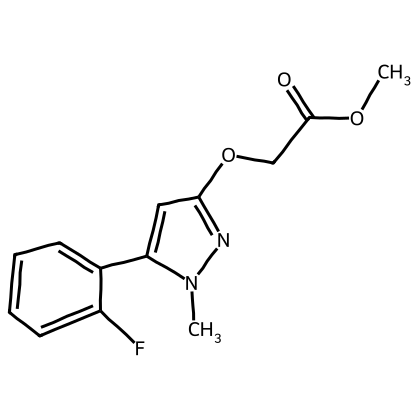 COC(=O)COc1cc(-c2ccccc2F)n(C)n1